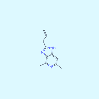 C=CCc1nc2c(C)nc(C)[c]c2[nH]1